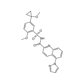 COc1ccc(C2(OC)CC2)cc1S(=O)(=O)NC(=O)c1ccc2c(-n3cccn3)cccc2n1